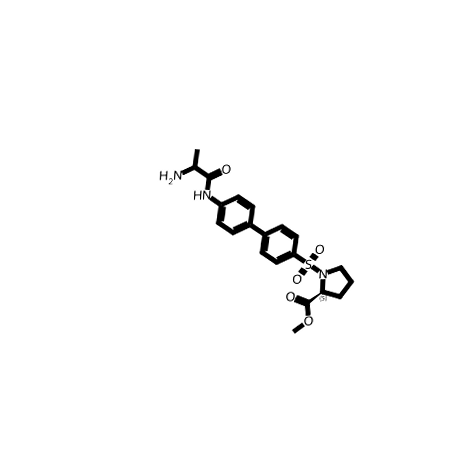 COC(=O)[C@@H]1CCCN1S(=O)(=O)c1ccc(-c2ccc(NC(=O)C(C)N)cc2)cc1